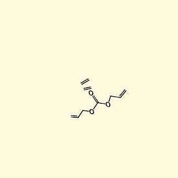 C=C.C=C.C=CCOC(=O)OCC=C